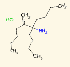 C=C(CCCC)C(N)(CCCC)CCCC.Cl